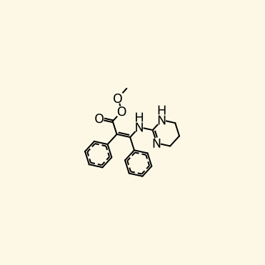 COOC(=O)C(=C(NC1=NCCCN1)c1ccccc1)c1ccccc1